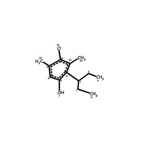 CCC(CC)c1c(O)cc(C)c(Cl)c1C